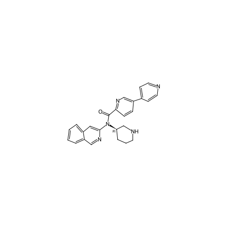 O=C(c1ccc(-c2ccncc2)cn1)N(c1cc2ccccc2cn1)[C@@H]1CCCNC1